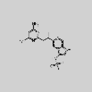 CC(Sc1nc(N)cc(C(F)(F)F)n1)c1cc2c(NS(C)(=O)=O)cn(C)c2cn1